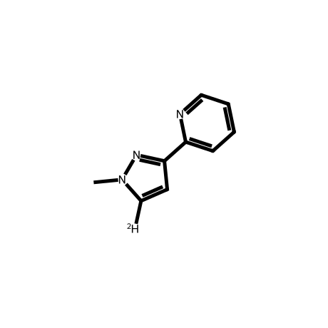 [2H]c1cc(-c2ccccn2)nn1C